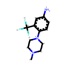 CN1CCN(c2ccc(N)cc2C(F)(F)F)CC1